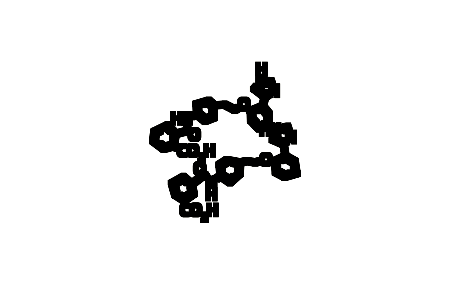 O=C(O)c1cccc(C(=O)Nc2ccc(CCOc3ccccc3-c3c[nH]cn3)cc2)c1.O=C(O)c1ccccc1C(=O)Nc1ccc(CCOc2ccccc2-c2c[nH]cn2)cc1